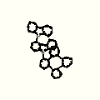 c1ccc2c(c1)-c1ccccc1-c1cccc(-n3c4ccccc4c4c(-n5c6ccccc6c6ccccc65)cccc43)c1-c1ccccc1-2